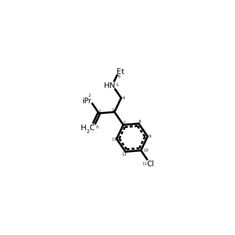 C=C(C(C)C)C(CNCC)c1ccc(Cl)cc1